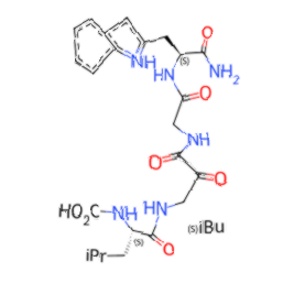 CC[C@H](C)C(NC(=O)[C@H](CC(C)C)NC(=O)O)C(=O)C(=O)NCC(=O)N[C@@H](Cc1cc2ccccc2[nH]1)C(N)=O